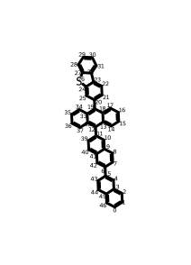 c1ccc2cc(-c3ccc4cc(-c5c6ccccc6c(-c6ccc7c(c6)sc6ccccc67)c6ccccc56)ccc4c3)ccc2c1